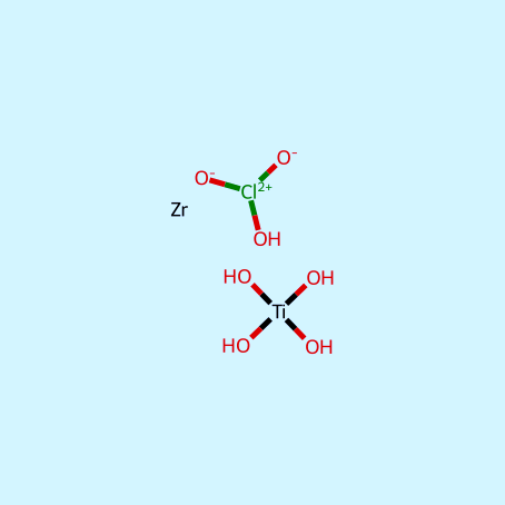 [O-][Cl+2]([O-])O.[OH][Ti]([OH])([OH])[OH].[Zr]